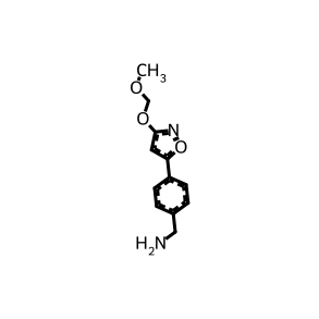 COCOc1cc(-c2ccc(CN)cc2)on1